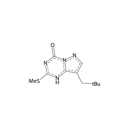 CSc1nc(=O)n2ncc(CC(C)(C)C)c2[nH]1